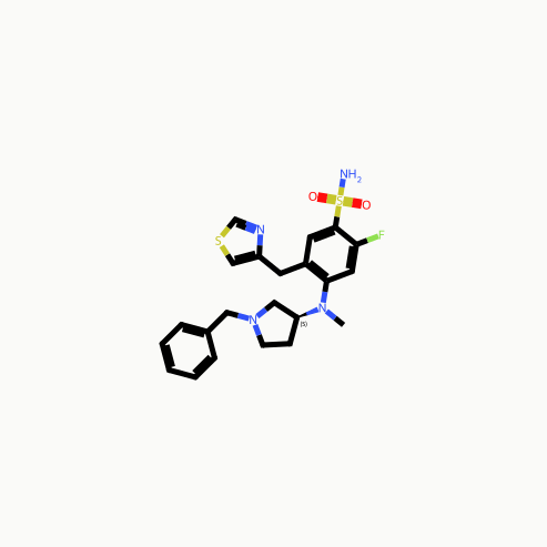 CN(c1cc(F)c(S(N)(=O)=O)cc1Cc1cscn1)[C@H]1CCN(Cc2ccccc2)C1